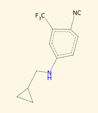 [C-]#[N+]c1ccc(NCC2CC2)cc1C(F)(F)F